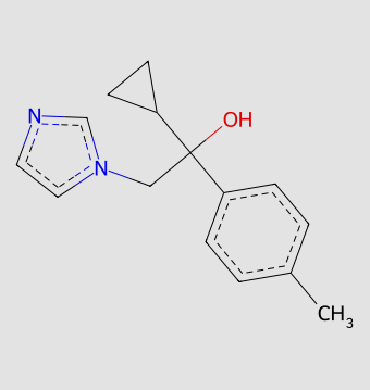 Cc1ccc(C(O)(Cn2ccnc2)C2CC2)cc1